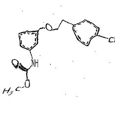 COC(=O)Nc1cccc(OCCc2ccc(Cl)cc2)c1